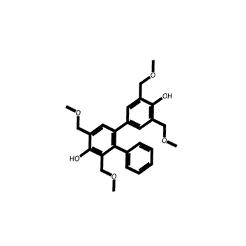 COCc1cc(-c2cc(COC)c(O)c(COC)c2-c2ccccc2)cc(COC)c1O